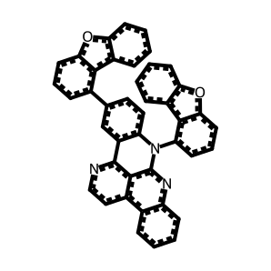 c1ccc2c(c1)nc1c3c(nccc32)-c2cc(-c3cccc4oc5ccccc5c34)ccc2N1c1cccc2oc3ccccc3c12